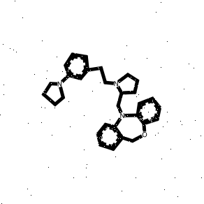 c1cc(CCN2CCCC2CN2c3ccccc3COc3ccccc32)cc(N2CCCC2)c1